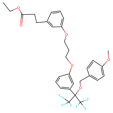 CCOC(=O)CCc1cccc(OCCCOc2cccc(C(OCc3ccc(OC)cc3)(C(F)(F)F)C(F)(F)F)c2)c1